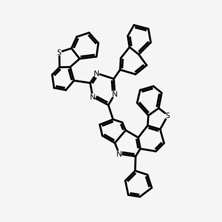 c1ccc(-c2nc3ccc(-c4nc(-c5ccc6ccccc6c5)nc(-c5cccc6sc7ccccc7c56)n4)cc3c3c2ccc2sc4ccccc4c23)cc1